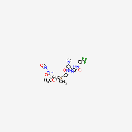 CC(C)(CCC(=O)NCCN1CCOCC1)OCCC(C)(C)SCc1cccc(C(=O)Nc2ccc(N3CCCCC3)cc2-c2cc(C(=O)NCc3cccc(C(F)(F)F)c3)ccn2)c1